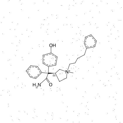 C[N+]1(CCCCc2ccccc2)CC[C@@H](C(C(N)=O)(c2ccccc2)c2ccc(O)cc2)C1